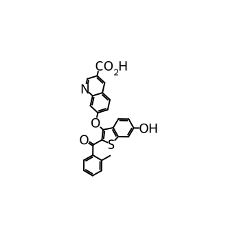 Cc1ccccc1C(=O)c1sc2cc(O)ccc2c1Oc1ccc2cc(C(=O)O)cnc2c1